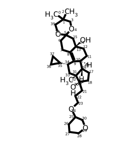 CC1(C)COC2(CCC3=C4[C@@H](CC[C@@]3(O)C2)[C@@H]2CC[C@@](O)(CCCOC3CCCOC3)[C@@]2(C)C[C@@H]4C2CC2)OC1